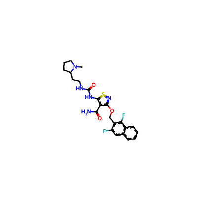 CN1CCCC1CCNC(=O)Nc1snc(OCc2c(F)cc3ccccc3c2F)c1C(N)=O